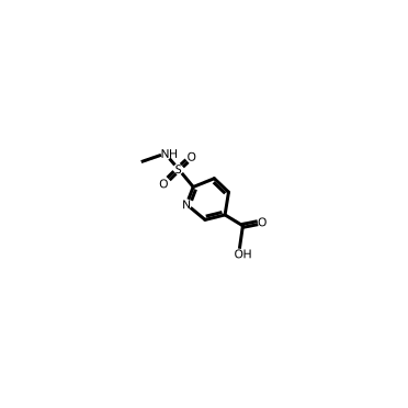 CNS(=O)(=O)c1ccc(C(=O)O)cn1